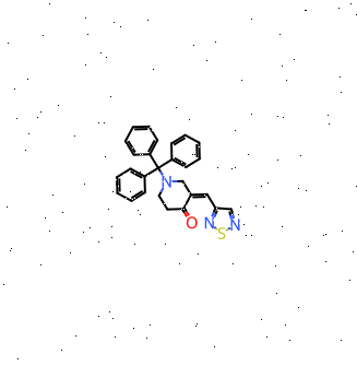 O=C1CCN(C(c2ccccc2)(c2ccccc2)c2ccccc2)C/C1=C/c1cnsn1